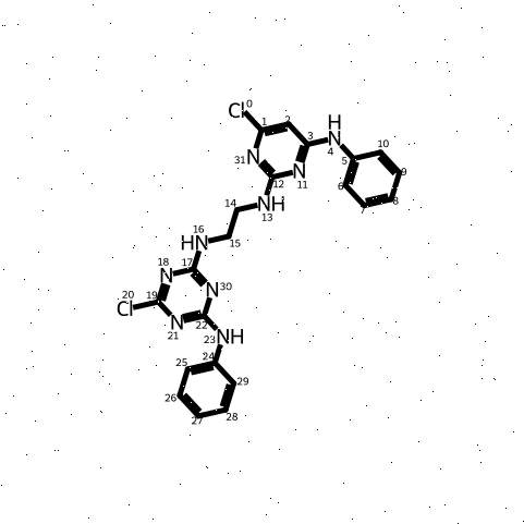 Clc1cc(Nc2ccccc2)nc(NCCNc2nc(Cl)nc(Nc3ccccc3)n2)n1